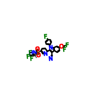 C[C@@H](NS(=O)(=O)c1ccc(-c2c(C#N)c3ccc(OC(F)F)cc3n2-c2ccc(F)cc2)nc1)C(F)(F)F